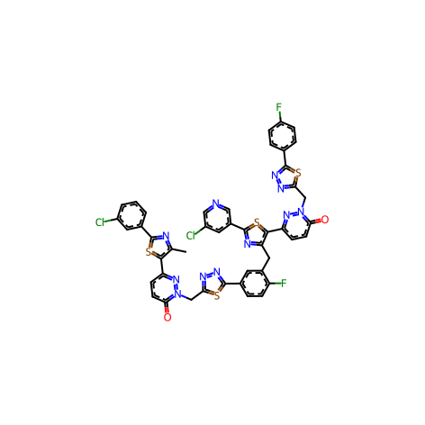 Cc1nc(-c2cccc(Cl)c2)sc1-c1ccc(=O)n(Cc2nnc(-c3ccc(F)c(Cc4nc(-c5cncc(Cl)c5)sc4-c4ccc(=O)n(Cc5nnc(-c6ccc(F)cc6)s5)n4)c3)s2)n1